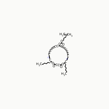 CCCCCC[C@@H]1C/C=C\CCCCCCCC(OC(=O)OCCCN(C)C)CCCCCCC/C=C\C[C@@H](CCCCCC)OC(=O)CCC(=O)O1